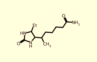 CCC1NC(=O)NC1C(C)CCCCC(N)=O